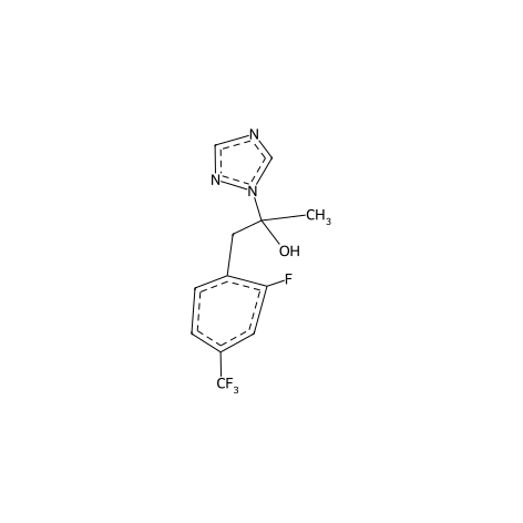 CC(O)(Cc1ccc(C(F)(F)F)cc1F)n1cncn1